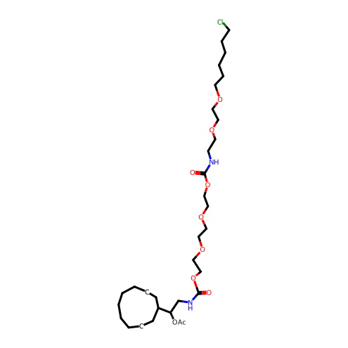 CC(=O)OC(CNC(=O)OCCOCCOCCOC(=O)NCCOCCOCCCCCCCl)C1CCCCCCCCC1